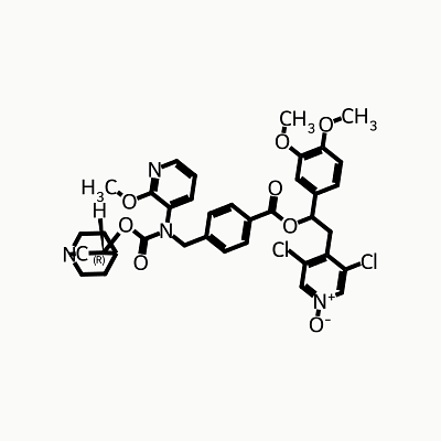 COc1ccc(C(Cc2c(Cl)c[n+]([O-])cc2Cl)OC(=O)c2ccc(CN(C(=O)O[C@H]3CN4CCC3CC4)c3cccnc3OC)cc2)cc1OC